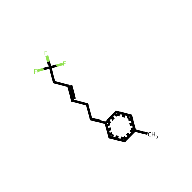 Cc1ccc(CC/C=C/CC(F)(F)F)cc1